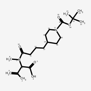 C=C(C)C(C(=O)O)N(C)C(=O)CCCC1CCN(C(=O)OC(C)(C)C)CC1